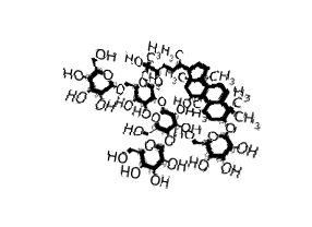 C[C@H](CC[C@@H](O[C@@H]1O[C@H](CO[C@H]2O[C@H](CO)[C@@H](O)[C@H](O)[C@H]2O)[C@@H](O)[C@H](O)[C@H]1O[C@H]1O[C@@H](CO)[C@H](O[C@H]2O[C@H](CO)[C@@H](O)[C@H](O)[C@H]2O)[C@@H](O)[C@@H]1O)C(C)(C)O)C1CC[C@@]2(C)C3CC=C4C(CC[C@H](O[C@@H]5O[C@H](CO)[C@@H](O)[C@H](O)[C@H]5O)C4(C)C)[C@]3(C)[C@H](O)C[C@]12C